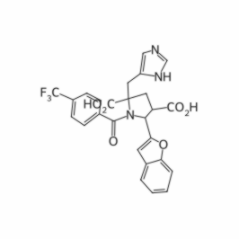 O=C(O)C1CC(Cc2cnc[nH]2)(C(=O)O)N(C(=O)c2ccc(C(F)(F)F)cc2)C1c1cc2ccccc2o1